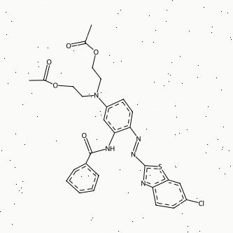 CC(=O)OCCN(CCOC(C)=O)c1ccc(N=Nc2nc3ccc(Cl)cc3s2)c(NC(=O)c2ccccc2)c1